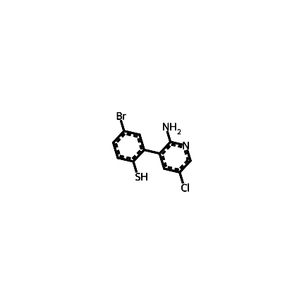 Nc1ncc(Cl)cc1-c1cc(Br)ccc1S